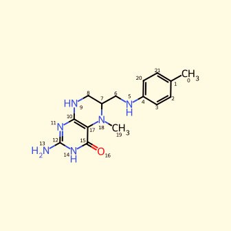 Cc1ccc(NCC2CNc3nc(N)[nH]c(=O)c3N2C)cc1